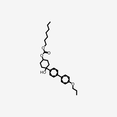 CCCCCCCOC(=O)OC1CCC(O)(c2ccc(-c3ccc(OCCC)cc3)cc2)CC1